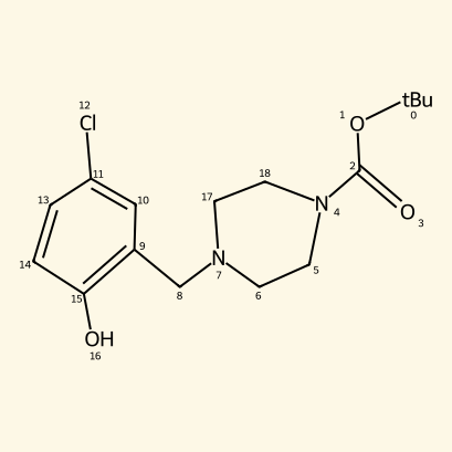 CC(C)(C)OC(=O)N1CCN(Cc2cc(Cl)ccc2O)CC1